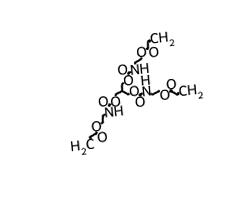 C=CC(=O)OCCNC(=O)OCC(COC(=O)NCCOC(=O)C=C)COC(=O)NCCOC(=O)C=C